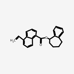 C=Cc1cccc2c(C(=O)OC3CCCCc4ccccc43)cccc12